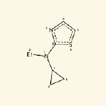 CCN(c1nccs1)C1CC1